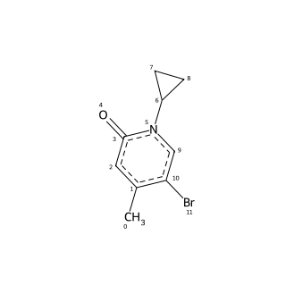 Cc1cc(=O)n(C2CC2)cc1Br